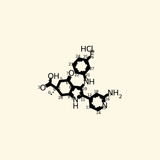 C[C@]1(C(=O)O)CC(=O)c2c([nH]c(-c3ccnc(N)c3)c2Nc2cccc(F)c2)C1.Cl